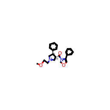 COCCN1C[C@@H](C(=O)N2COC=C2c2ccccc2)[C@H](c2ccccc2)C1